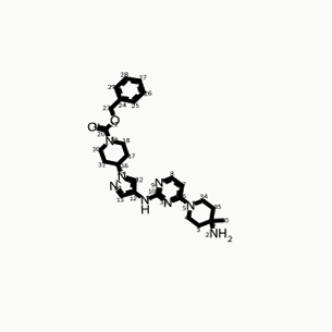 CC1(N)CCN(c2ccnc(Nc3cnn(C4CCN(C(=O)OCc5ccccc5)CC4)c3)n2)CC1